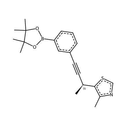 Cc1ncsc1[C@@H](C)C#Cc1cccc(B2OC(C)(C)C(C)(C)O2)c1